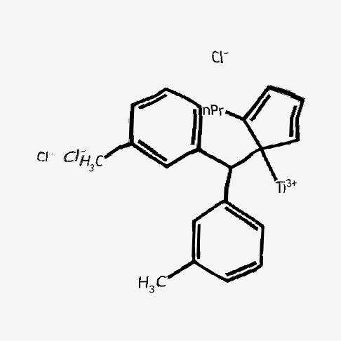 CCCC1=CC=C[C]1([Ti+3])C(c1cccc(C)c1)c1cccc(C)c1.[Cl-].[Cl-].[Cl-]